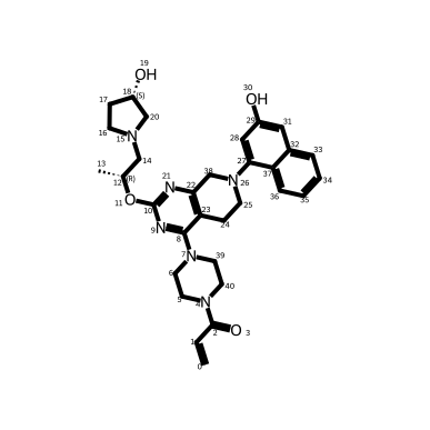 C=CC(=O)N1CCN(c2nc(O[C@H](C)CN3CC[C@H](O)C3)nc3c2CCN(c2cc(O)cc4ccccc24)C3)CC1